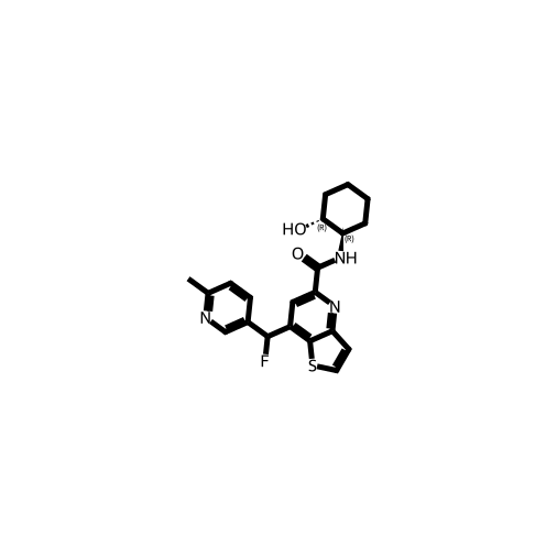 Cc1ccc(C(F)c2cc(C(=O)N[C@@H]3CCCC[C@H]3O)nc3ccsc23)cn1